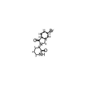 O=C1NCCCC1N1Cc2cc(Br)ccc2C1=O